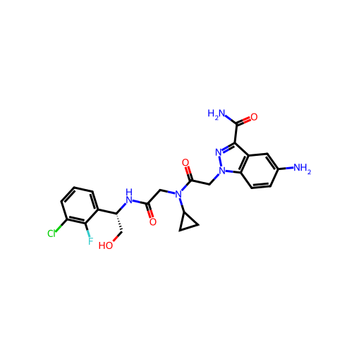 NC(=O)c1nn(CC(=O)N(CC(=O)N[C@H](CO)c2cccc(Cl)c2F)C2CC2)c2ccc(N)cc12